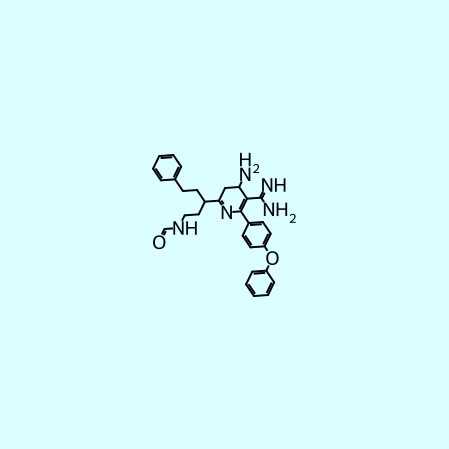 N=C(N)C1=C(c2ccc(Oc3ccccc3)cc2)N=C(C(CCNC=O)CCc2ccccc2)CC1N